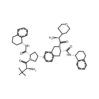 CC(C)(C)[C@H](N)C(=O)N1C[C@@H](c2ccc3c(c2)CN(C(=O)[C@@H](N)C2CCOCC2)[C@H](C(=O)N[C@@H]2CCCc4ccccc42)C3)C[C@H]1C(=O)N[C@@H]1CCCc2ccccc21